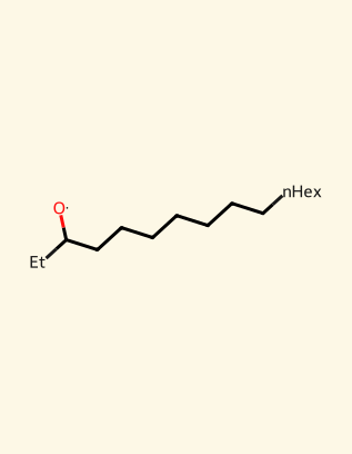 CCCCCCCCCCCCCC([O])CC